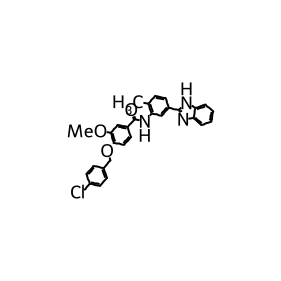 COc1cc(C(=O)Nc2cc(-c3nc4ccccc4[nH]3)ccc2C)ccc1OCc1ccc(Cl)cc1